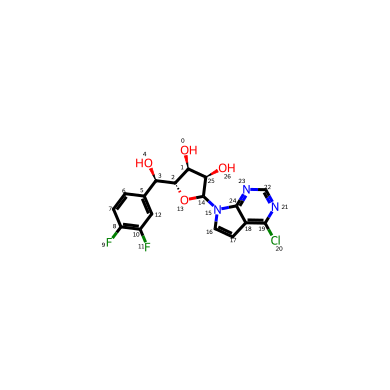 O[C@@H]1[C@@H]([C@H](O)c2ccc(F)c(F)c2)OC(n2ccc3c(Cl)ncnc32)[C@@H]1O